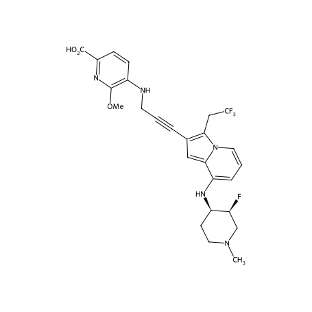 COc1nc(C(=O)O)ccc1NCC#Cc1cc2c(N[C@@H]3CCN(C)C[C@@H]3F)cccn2c1CC(F)(F)F